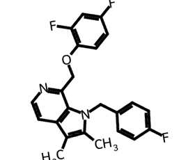 Cc1c(C)n(Cc2ccc(F)cc2)c2c(COc3ccc(F)cc3F)nccc12